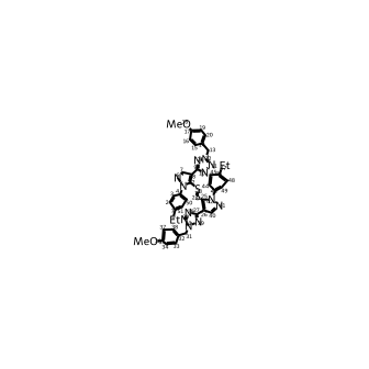 CCc1ccc(-n2ncc(-c3nnn(Cc4ccc(OC)cc4)n3)c2SSc2c(-c3nnn(Cc4ccc(OC)cc4)n3)cnn2-c2ccc(CC)cc2)cc1